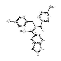 COc1ccc(C(=O)/C(Cc2ccc(C(F)(F)F)cc2)=C(/C(=O)O)c2ccc3nsnc3c2)cc1